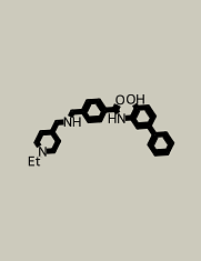 CCN1CCC(CNCc2ccc(C(=O)Nc3cc(-c4ccccc4)ccc3O)cc2)CC1